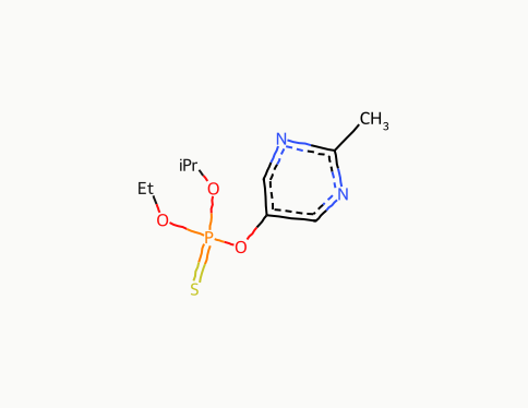 CCOP(=S)(Oc1cnc(C)nc1)OC(C)C